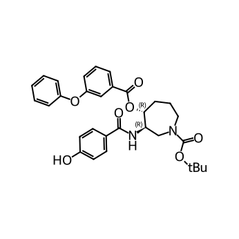 CC(C)(C)OC(=O)N1CCC[C@@H](OC(=O)c2cccc(Oc3ccccc3)c2)[C@H](NC(=O)c2ccc(O)cc2)C1